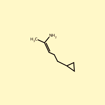 C/C(N)=C/CCC1CC1